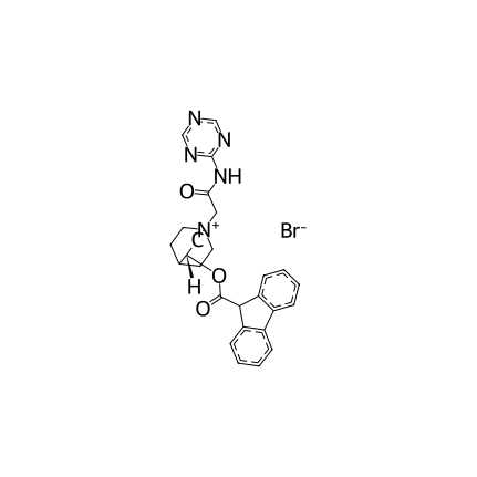 O=C(C[N+]12CCC(CC1)[C@@H](OC(=O)C1c3ccccc3-c3ccccc31)C2)Nc1ncncn1.[Br-]